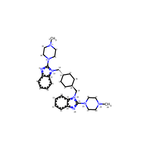 CN1CCN(c2nc3ccccc3n2C[C@H]2CC[C@H](Cn3c(N4CCN(C)CC4)nc4ccccc43)CC2)CC1